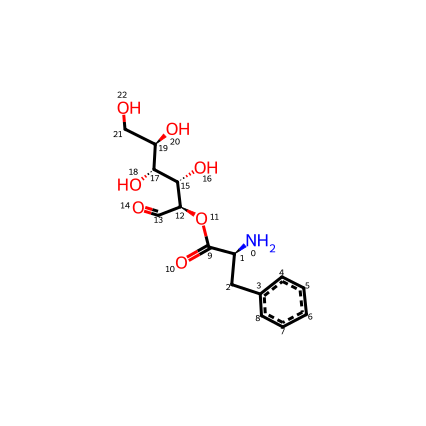 N[C@@H](Cc1ccccc1)C(=O)O[C@@H](C=O)[C@@H](O)[C@H](O)[C@H](O)CO